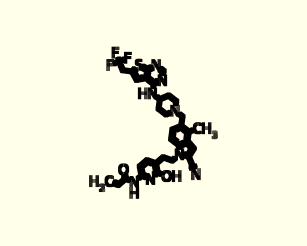 C=CC(=O)Nc1ccc(CCn2c(C#N)cc3c(C)c(CN4CCC(Nc5ncnc6sc(CC(F)(F)F)cc56)CC4)ccc32)c(O)n1